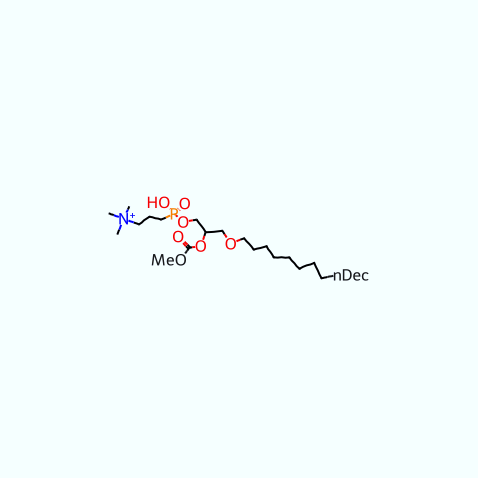 CCCCCCCCCCCCCCCCCCOCC(COP(=O)(O)CCC[N+](C)(C)C)OC(=O)OC